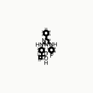 O=C(O)C1(c2ccc(Nc3nc(Nc4ccc(F)cc4)cc(-c4ccccc4)n3)cc2)CCC1